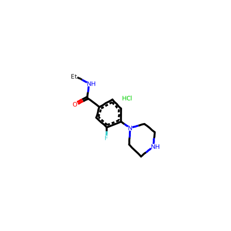 CCNC(=O)c1ccc(N2CCNCC2)c(F)c1.Cl